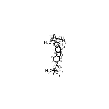 CC(C)[Si](Sc1ccc2oc3c(c2c1)CCN(C(=O)OC(C)(C)C)C3)(C(C)C)C(C)C